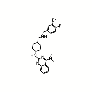 CN(C)c1nc(N[C@H]2CC[C@@H](CNCc3ccc(F)c(Br)c3)CC2)nc2ccccc12